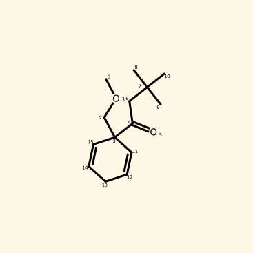 COCC1(C(=O)CC(C)(C)C)C=CCC=C1